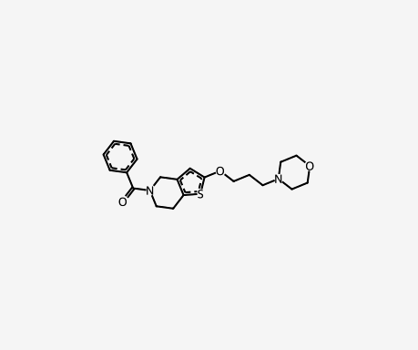 O=C(c1ccccc1)N1CCc2sc(OCCCN3CCOCC3)cc2C1